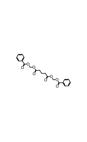 O=C(CCCC(=O)OCOC(=O)c1ccccc1)OCOC(=O)c1ccccc1